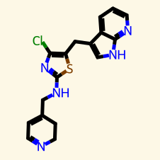 Clc1nc(NCC2=CC=NCC2)sc1Cc1c[nH]c2ncccc12